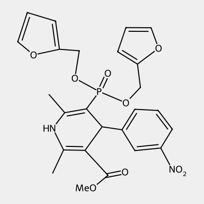 COC(=O)C1=C(C)NC(C)=C(P(=O)(OCc2ccco2)OCc2ccco2)C1c1cccc([N+](=O)[O-])c1